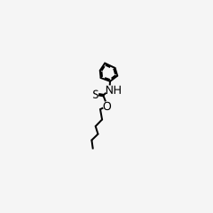 CCCCCCOC(=S)Nc1ccccc1